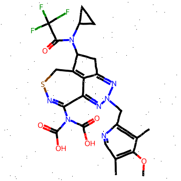 COc1c(C)cnc(CN2N=C3CC(N(C(=O)C(F)(F)F)C4CC4)C4=C3C(=N2)C(N(C(=O)O)C(=O)O)=NSC4)c1C